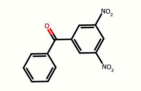 O=C(c1ccccc1)c1cc([N+](=O)[O-])cc([N+](=O)[O-])c1